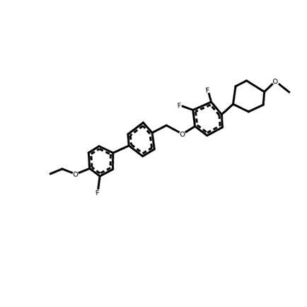 CCOc1ccc(-c2ccc(COc3ccc(C4CCC(OC)CC4)c(F)c3F)cc2)cc1F